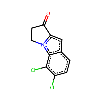 O=C1CCn2c1cc1ccc(Cl)c(Cl)c12